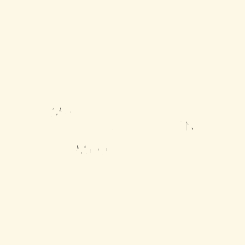 COc1ccc(CC#N)c(C)c1OC